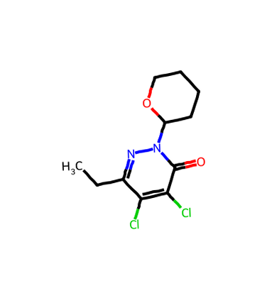 CCc1nn(C2CCCCO2)c(=O)c(Cl)c1Cl